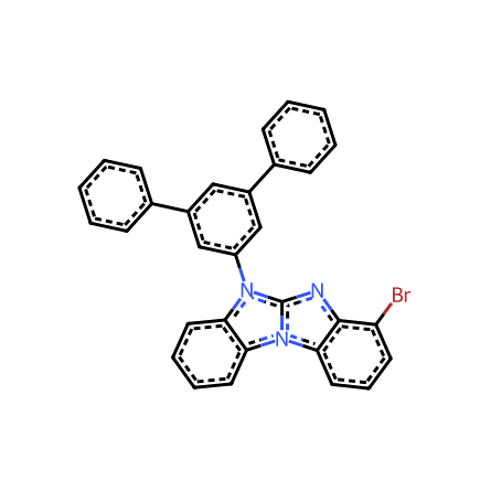 Brc1cccc2c1nc1n(-c3cc(-c4ccccc4)cc(-c4ccccc4)c3)c3ccccc3n21